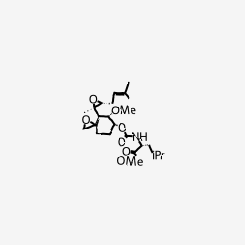 COC(=O)[C@@H](CC(C)C)NC(=O)O[C@@H]1CC[C@]2(CO2)[C@@H]([C@@]2(C)O[C@@H]2CC=C(C)C)[C@@H]1OC